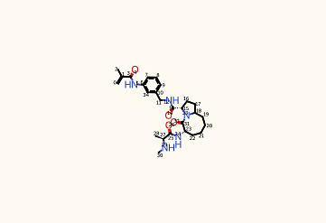 C=C(C)C(=O)Nc1cccc(CNC(=O)[C@@H]2CCC3CCCC[C@H](NC(=O)[C@H](C)NC)C(=O)N32)c1